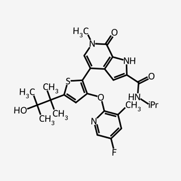 Cc1cc(F)cnc1Oc1cc(C(C)(C)C(C)(C)O)sc1-c1cn(C)c(=O)c2[nH]c(C(=O)NC(C)C)cc12